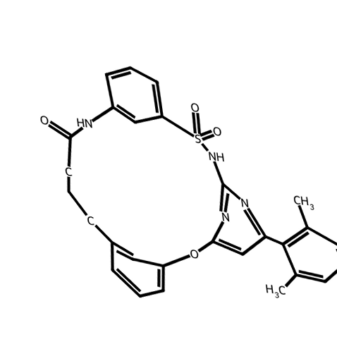 Cc1cccc(C)c1-c1cc2nc(n1)NS(=O)(=O)c1cccc(c1)NC(=O)CCCc1cccc(c1)O2